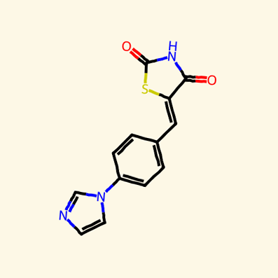 O=C1NC(=O)/C(=C/c2ccc(-n3ccnc3)cc2)S1